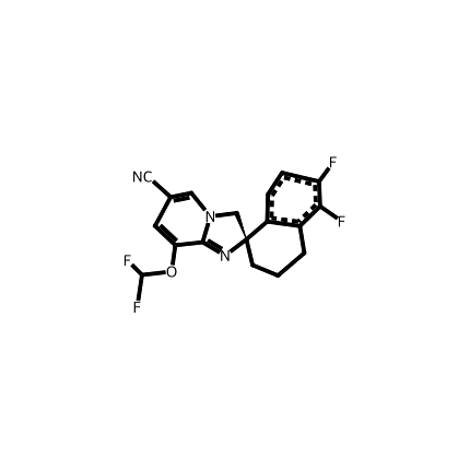 N#CC1=CN2C[C@@]3(CCCc4c3ccc(F)c4F)N=C2C(OC(F)F)=C1